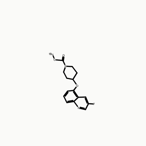 CC(C)(C)OC(=O)N1CCC(Oc2cccc3ncc(F)cc23)CC1